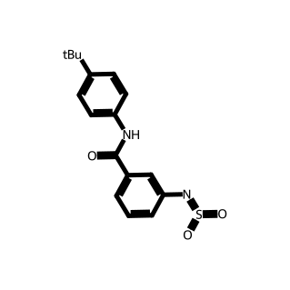 CC(C)(C)c1ccc(NC(=O)c2cccc(N=S(=O)=O)c2)cc1